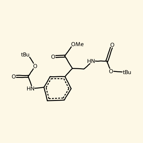 COC(=O)C(CNC(=O)OC(C)(C)C)c1cccc(NC(=O)OC(C)(C)C)c1